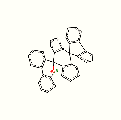 OC1(c2ccccc2-c2ccccc2Br)c2ccccc2C2(c3ccccc3-c3ccccc32)c2ccccc21